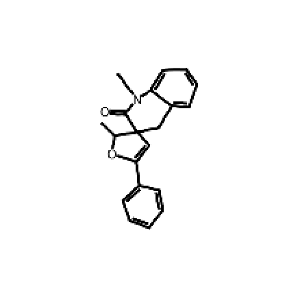 CC1OC(c2ccccc2)=CC12Cc1ccccc1N(C)C2=O